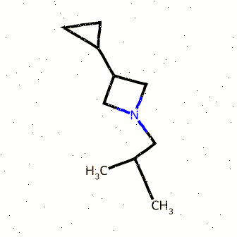 CC(C)CN1CC(C2CC2)C1